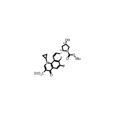 CCOC(=O)c1cn(C2CC2)c2c(/C=C\C[C@@H]3C[C@@H](O)CN3C(=O)OC(C)(C)C)c(F)c(F)cc2c1=O